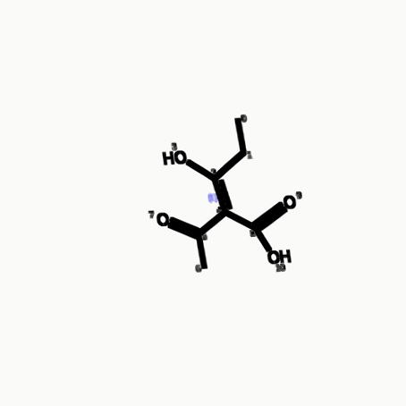 CC/C(O)=C(/C(C)=O)C(=O)O